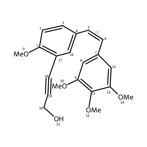 COc1ccc(/C=C\c2cc(OC)c(OC)c(OC)c2)cc1C#CCO